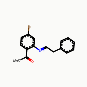 COC(=O)c1ccc(Br)cc1/N=C/Cc1ccccc1